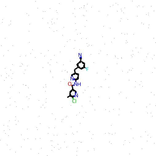 Cc1cc(C(=O)Nc2ccc(Cc3cc(F)cc(C#N)c3)cn2)cnc1Cl